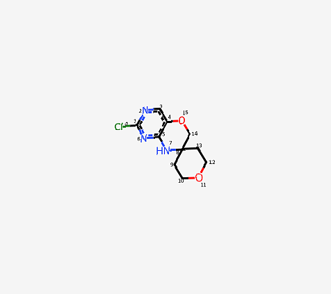 Clc1ncc2c(n1)NC1(CCOCC1)CO2